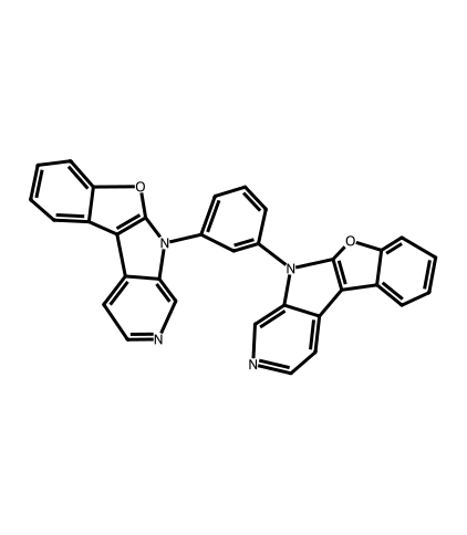 c1cc(-n2c3cnccc3c3c4ccccc4oc32)cc(-n2c3cnccc3c3c4ccccc4oc32)c1